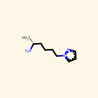 N[C@@H](CCCCn1cccn1)C(=O)O